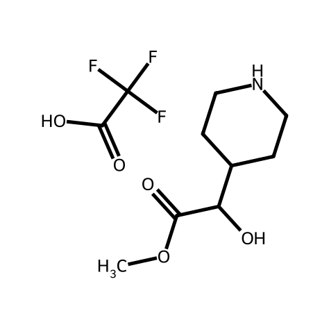 COC(=O)C(O)C1CCNCC1.O=C(O)C(F)(F)F